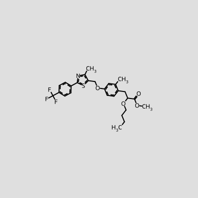 CCCCOC(Cc1ccc(OCc2sc(-c3ccc(C(F)(F)F)cc3)nc2C)cc1C)C(=O)OC